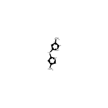 Cc1csc(Sc2cc(C)cs2)c1